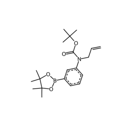 C=CCN(C(=O)OC(C)(C)C)c1cccc(B2OC(C)(C)C(C)(C)O2)c1